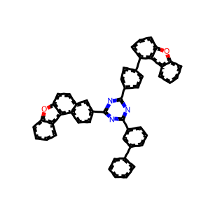 c1ccc(-c2cccc(-c3nc(-c4ccc(-c5cccc6oc7ccccc7c56)cc4)nc(-c4ccc5c(ccc6oc7ccccc7c65)c4)n3)c2)cc1